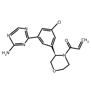 C=CC(=O)N1CCOC[C@H]1c1cc(Cl)cc(-c2ncnc(N)n2)c1